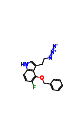 [N-]=[N+]=NCCc1c[nH]c2ccc(F)c(OCc3ccccc3)c12